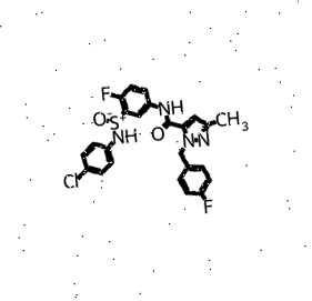 Cc1cc(C(=O)Nc2ccc(F)c([S+]([O-])Nc3ccc(Cl)cc3)c2)n(Cc2ccc(F)cc2)n1